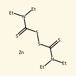 CCN(CC)C(=S)SSC(=S)N(CC)CC.[Zn]